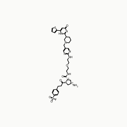 N[C@H]1C[C@@H](C(=O)NCCOCCNc2ncc(CN3CCCC(c4nc(=O)cc(-c5cccs5)[nH]4)C3)cn2)N(C(=O)CCc2ccc(S(=O)(=O)F)cc2)C1